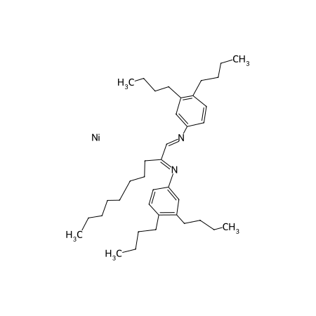 CCCCCCCCC(C=Nc1ccc(CCCC)c(CCCC)c1)=Nc1ccc(CCCC)c(CCCC)c1.[Ni]